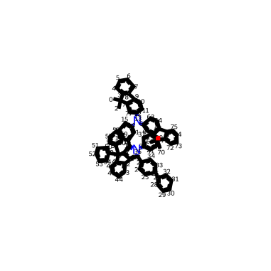 CC1(C)c2ccccc2-c2ccc(N(c3cccc(-c4c5c(c(-c6ccc(-c7ccccc7)cc6)n4-c4ccccc4)-c4ccccc4C5(c4ccccc4)c4ccccc4)c3)c3ccc4c(c3)C(C)(C)c3ccccc3-4)cc21